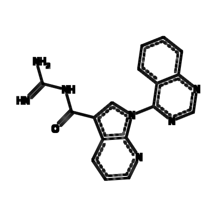 N=C(N)NC(=O)c1cn(-c2ncnc3ccccc23)c2ncccc12